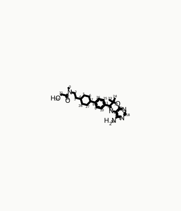 CN(CCC1CCC(c2ccc(C3=Nc4c(N)ncnc4OC3(C)C)cc2)CC1)C(=O)CO